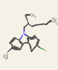 Bc1ccc2c(c1)c1cc(Br)ccc1n2CC(CC)CCCC